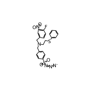 [N-]=[N+]=NS(=O)(=O)c1ccc(CN(CCSc2ccccc2)Cc2ccc(F)c([N+](=O)[O-])c2)cc1